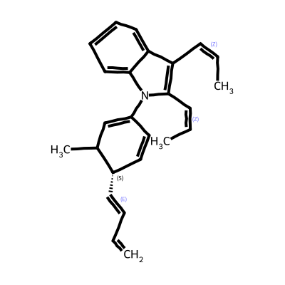 C=C/C=C/[C@H]1C=CC(n2c(/C=C\C)c(/C=C\C)c3ccccc32)=CC1C